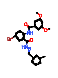 COc1cc(OC)cc(C(=O)Nc2ccc(Br)cc2C(=O)NN=Cc2cccc(C)c2)c1